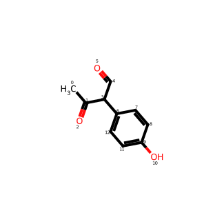 CC(=O)C(C=O)c1ccc(O)cc1